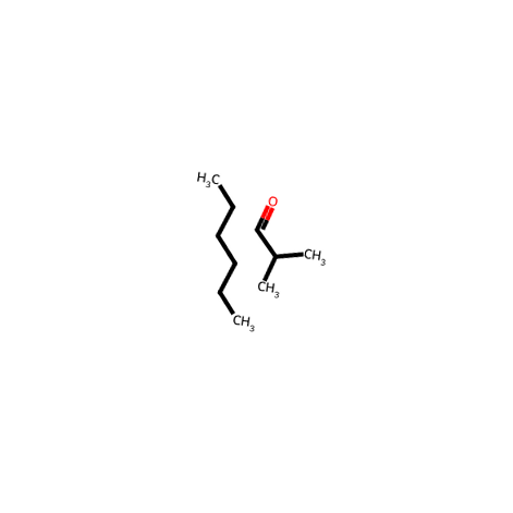 CC(C)C=O.CCCCCC